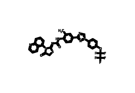 Cc1cc(-c2ncn(-c3ccc(OC(F)(F)C(F)(F)F)cc3)n2)ccc1NC(=O)N=C1SCC(=O)N1c1cccc2ncccc12